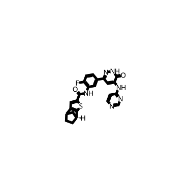 O=C(Nc1cc(-c2cc(Nc3ccncn3)c(=O)[nH]n2)ccc1F)c1cc2c(s1)[C@H]1CCC2C1